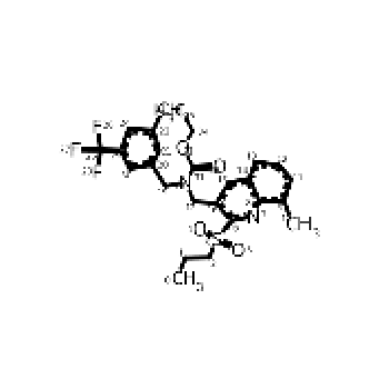 CCCS(=O)(=O)c1nc2c(C)cccc2cc1CN(Cc1cc(C)cc(C(F)(F)F)c1)C(=O)OCC